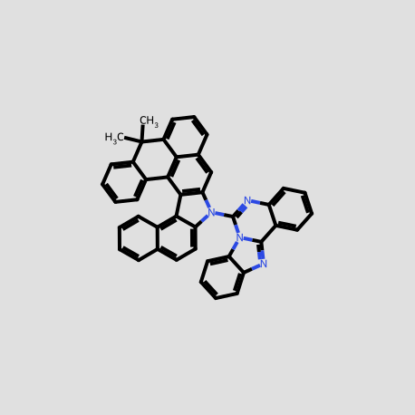 CC1(C)c2ccccc2-c2c3c1cccc3cc1c2c2c3ccccc3ccc2n1-c1nc2ccccc2c2nc3ccccc3n12